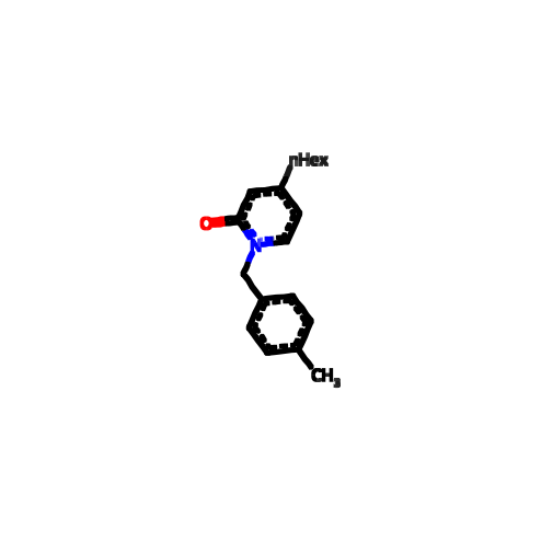 CCCCCCc1ccn(Cc2ccc(C)cc2)c(=O)c1